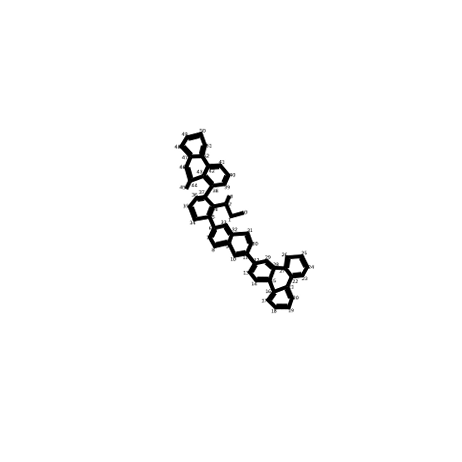 CCC(C)c1c(-c2ccc3cc(-c4ccc5c6ccccc6c6ccccc6c5c4)ccc3c2)cccc1-c1cccc2c1c(C)cc1ccccc12